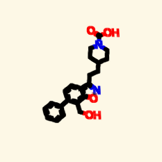 O=C(O)N1CCC(CCc2noc3c(CO)c(-c4ccccc4)ccc23)CC1